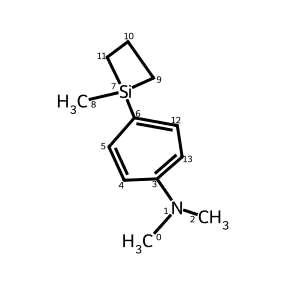 CN(C)c1ccc([Si]2(C)CCC2)cc1